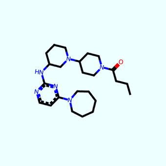 CCCC(=O)N1CCC(N2CCCC(Nc3nccc(N4CCCCCC4)n3)C2)CC1